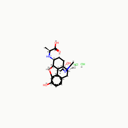 C[C@H](N[C@H]1CC[C@@]2(O)[C@H]3Cc4ccc(O)c5c4[C@@]2(CCN3C)[C@H]1O5)C(=O)O.Cl.Cl